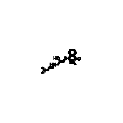 CN(C)CCCNCC(O)COc1nn(C)c(=O)c2ccccc12